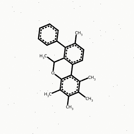 Cc1ccc2c(c1-c1ccccc1)C(C)Oc1c(C)c(C)c(C)c(C)c1-2